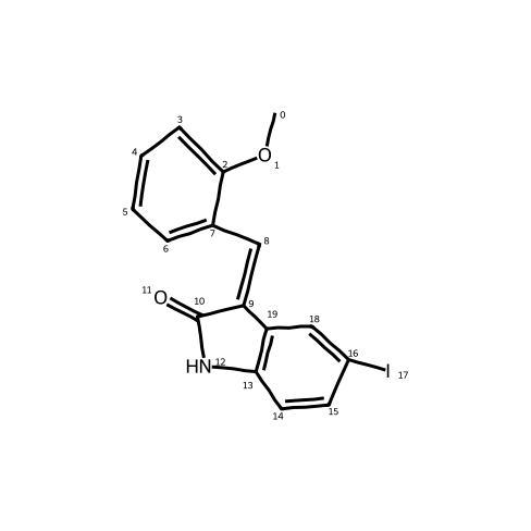 COc1ccccc1C=C1C(=O)Nc2ccc(I)cc21